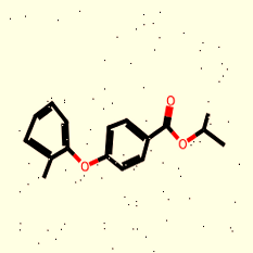 Cc1ccccc1Oc1ccc(C(=O)OC(C)C)cc1